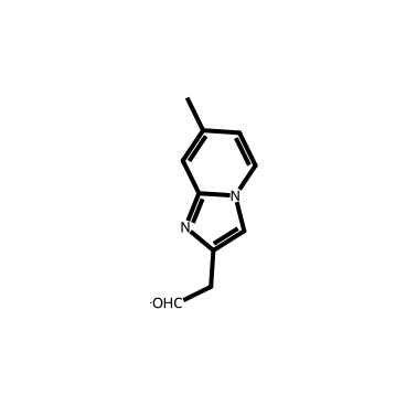 Cc1ccn2cc(C[C]=O)nc2c1